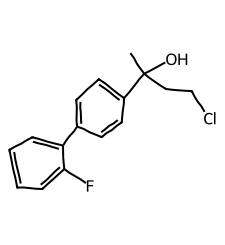 CC(O)(CCCl)c1ccc(-c2ccccc2F)cc1